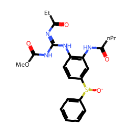 CCCC(=O)Nc1cc([S+]([O-])c2ccccc2)ccc1NC(=NC(=O)CC)NC(=O)OC